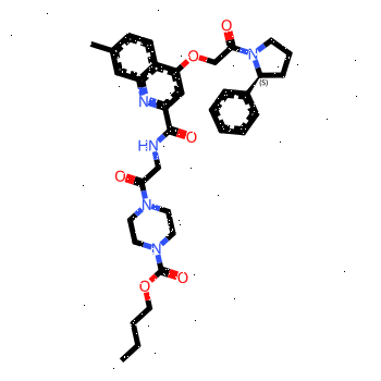 CCCCOC(=O)N1CCN(C(=O)CNC(=O)c2cc(OCC(=O)N3CCC[C@H]3c3ccccc3)c3ccc(C)cc3n2)CC1